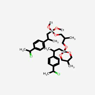 CCO[Si](CC(C)c1ccc(C(C)Cl)cc1)(OCC)OCC(C)CO[Si]1(CC(C)c2ccc(C(C)Cl)cc2)OCC(C)CO1